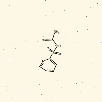 N=C(N)NS(=O)(=O)c1ccccn1